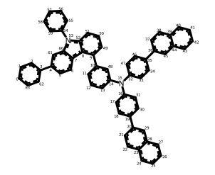 c1ccc(-c2ccc3c4c(-c5cccc(N(c6ccc(-c7ccc8ccccc8c7)cc6)c6ccc(-c7ccc8ccccc8c7)cc6)c5)cccc4n(-c4ccccc4)c3c2)cc1